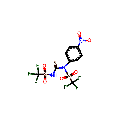 O=[N+]([O-])c1ccc(N(C(=S)NS(=O)(=O)C(F)(F)F)S(=O)(=O)C(F)(F)F)cc1